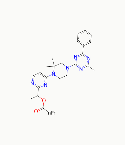 CCCC(=O)OC(C)c1nccc(N2CCN(c3nc(C)nc(-c4ccccc4)n3)CC2(C)C)n1